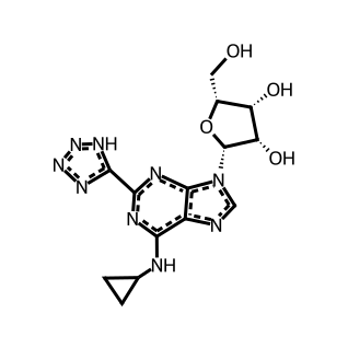 OC[C@H]1O[C@@H](n2cnc3c(NC4CC4)nc(-c4nnn[nH]4)nc32)[C@@H](O)[C@H]1O